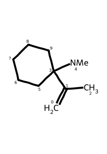 C=C(C)C1(NC)CCCCC1